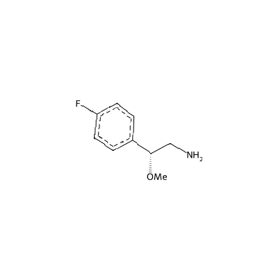 CO[C@@H](CN)c1ccc(F)cc1